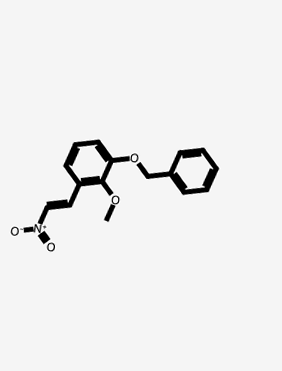 COc1c(C=C[N+](=O)[O-])cccc1OCc1ccccc1